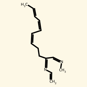 C=C/N=C(\C=N/C)CC/C=C\C=C/C=CC